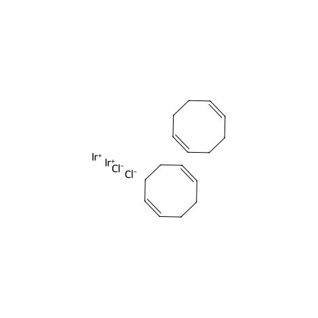 C1=C\CC/C=C\CC/1.C1=C\CC/C=C\CC/1.[Cl-].[Cl-].[Ir+].[Ir+]